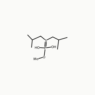 CC(C)CS(CC(C)C)=P(O)(O)[O][Mo]